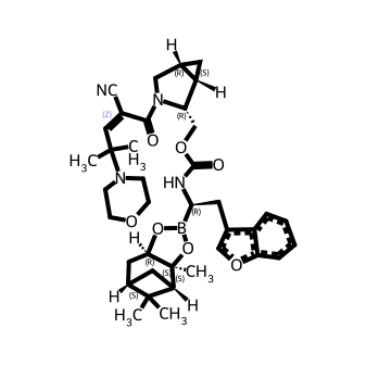 CC1(C)[C@@H]2C[C@H]3OB([C@H](Cc4coc5ccccc45)NC(=O)OC[C@H]4[C@H]5C[C@H]5CN4C(=O)/C(C#N)=C\C(C)(C)N4CCOCC4)O[C@@]3(C)[C@H]1C2